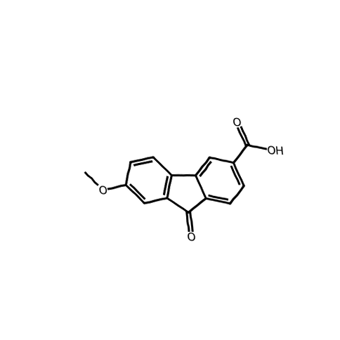 COc1ccc2c(c1)C(=O)c1ccc(C(=O)O)cc1-2